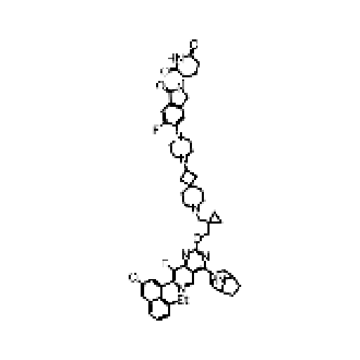 CCc1cccc2cc(O)cc(-c3ncc4c(N5CC6CCC(C5)N6)nc(OCC5(CN6CCC7(CC6)CC(N6CCN(c8cc9c(cc8F)C(=O)N([C@H]8CCC(=O)NC8=O)C9)CC6)C7)CC5)nc4c3F)c12